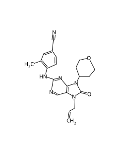 C=CCn1c(=O)n(C2CCOCC2)c2nc(Nc3ccc(C#N)cc3C)ncc21